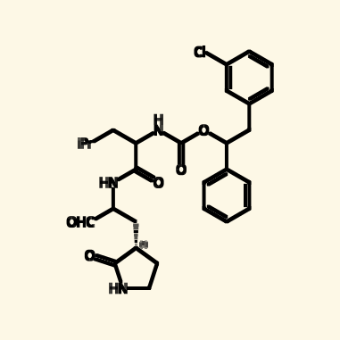 CC(C)CC(NC(=O)OC(Cc1cccc(Cl)c1)c1ccccc1)C(=O)NC(C=O)C[C@@H]1CCNC1=O